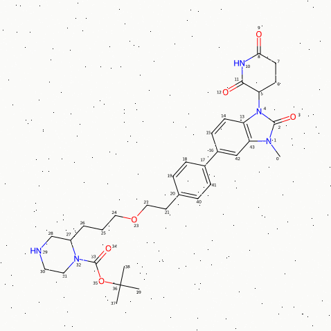 Cn1c(=O)n(C2CCC(=O)NC2=O)c2ccc(-c3ccc(CCOCCCC4CNCCN4C(=O)OC(C)(C)C)cc3)cc21